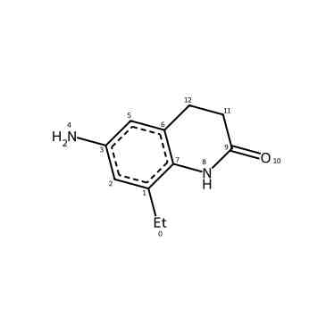 CCc1cc(N)cc2c1NC(=O)CC2